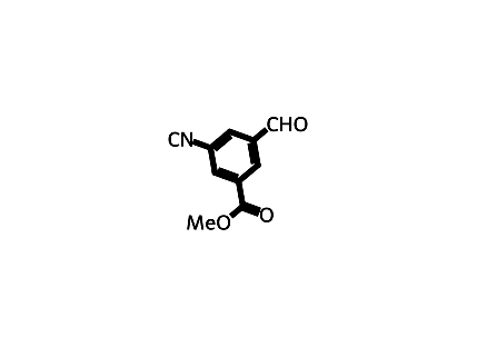 [C-]#[N+]c1cc(C=O)cc(C(=O)OC)c1